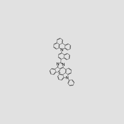 c1ccc(-n2c3ccccc3c3c(-c4nc(-c5ccc(N6c7ccccc7-c7cccc8cccc6c78)c6ccccc56)nc5c4sc4ccccc45)cccc32)cc1